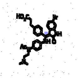 CC(=O)N(CCN(C)C)c1ccc(N/C(=C2\C(=O)Nc3cc(Br)ccc32)c2ccc(CCC(=O)O)cc2)cc1